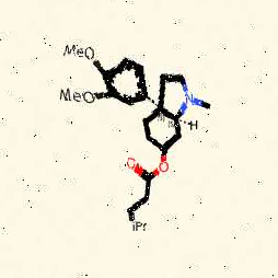 COc1ccc([C@@]23CCC(OC(=O)CCC(C)C)=C[C@@H]2N(C)CC3)cc1OC